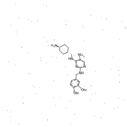 N[C@H]1CC[C@H](CNc2nc(NCc3ccc(O)c(O)c3)ncc2[N+](=O)[O-])CC1